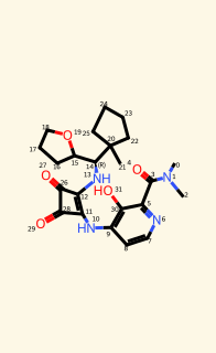 CN(C)C(=O)c1nccc(Nc2c(N[C@@H](C3CCCO3)C3(C)CCCC3)c(=O)c2=O)c1O